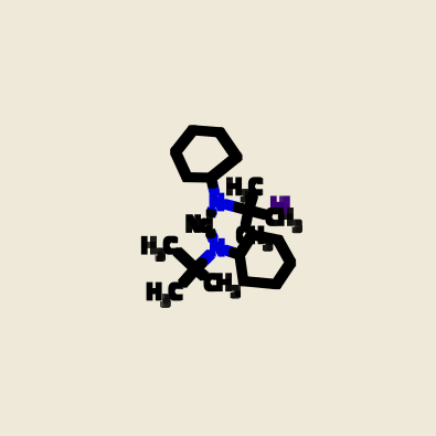 CC(C)(C)[N]([Nd][N](C1CCCCC1)C(C)(C)C)C1CCCCC1.I